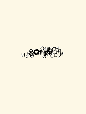 CC1(C)S[C@H]2N(C(=O)[C@]2(C)NC(=O)c2ccc(S(N)(=O)=O)cc2)[C@H]1C(=O)O